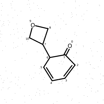 O=C1C=CC=CC1C1COC1